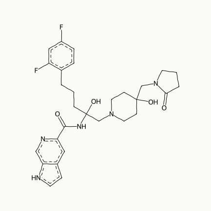 O=C(NC(O)(CCCc1ccc(F)cc1F)CN1CCC(O)(CN2CCCC2=O)CC1)c1cc2cc[nH]c2cn1